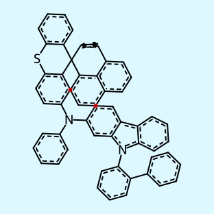 c1ccc(-c2ccccc2-n2c3ccccc3c3ccc(N(c4ccccc4)c4ccc5c(c4)C4(c6ccccc6S5)c5ccccc5-c5cccc6cccc4c56)cc32)cc1